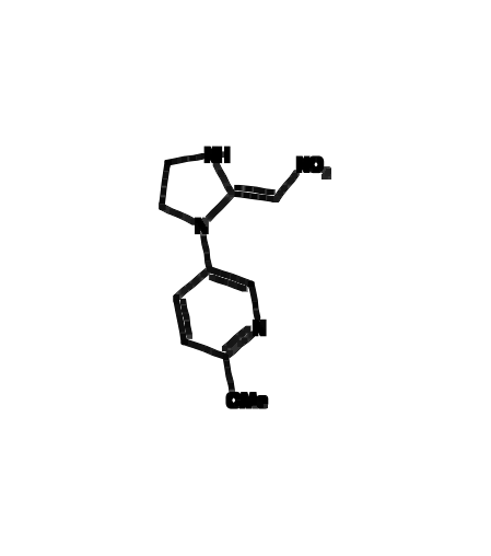 COc1ccc(N2CCN/C2=C\[N+](=O)[O-])cn1